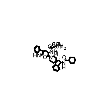 CC(C)(N)C(=O)NC(Cc1c[nH]c2ccccc12)C(=O)N1CCC2(CC1)C[C@@H](NC(=O)C1CCCCC1)c1ccccc12.Cl